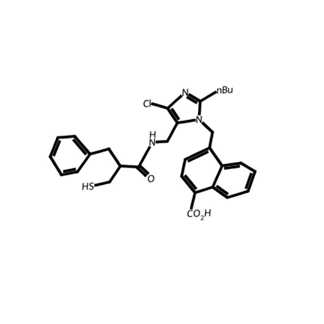 CCCCc1nc(Cl)c(CNC(=O)C(CS)Cc2ccccc2)n1Cc1ccc(C(=O)O)c2ccccc12